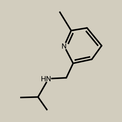 Cc1cccc(CNC(C)C)n1